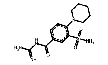 N=C(N)NC(=O)c1ccc(N2CCCCC2)c(S(N)(=O)=O)c1